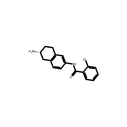 N[C@@H]1CCc2cc(NC(=O)c3ccccc3Cl)ccc2C1